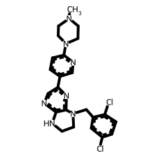 CN1CCN(c2ccc(-c3cnc4c(n3)N(Cc3cc(Cl)ccc3Cl)CCN4)cn2)CC1